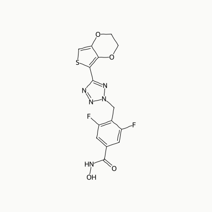 O=C(NO)c1cc(F)c(Cn2nnc(-c3scc4c3OCCO4)n2)c(F)c1